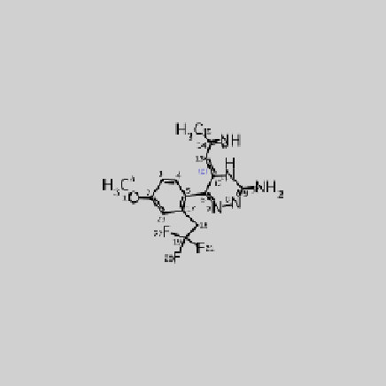 COc1ccc(C2=NN=C(N)N/C2=C\C(C)=N)c(CC(F)(F)F)c1